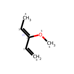 C=C/C(=C/C)OC